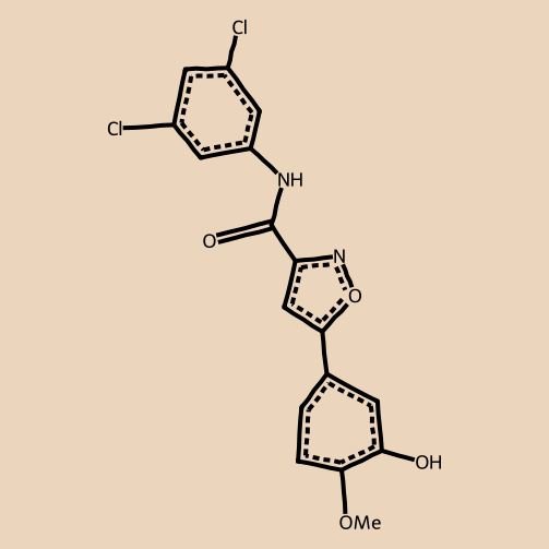 COc1ccc(-c2cc(C(=O)Nc3cc(Cl)cc(Cl)c3)no2)cc1O